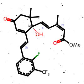 COC(=O)/C=C(C)\C=C\[C@@]1(O)C(/C=C/c2cccc(C(F)(F)F)c2F)=CC(=O)CC1(C)C